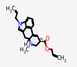 C=CCOC(=O)[C@@H]1C=C2c3cccc4c3c(cn4CC=C)C[C@H]2N(C)C1